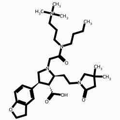 CCCCN(CCC[N+](C)(C)C)C(=O)CN1C[C@H](c2ccc3c(c2)CCO3)[C@@H](C(=O)O)[C@@H]1CCN1CC(C)(C)CC1=O